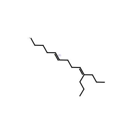 [CH2]CCC/C=C/CCC=C(CCC)CCC